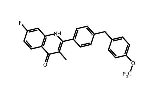 Cc1c(-c2ccc(Cc3ccc(OC(F)(F)F)cc3)cc2)[nH]c2cc(F)ccc2c1=O